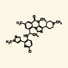 Cc1cc(C(C)Nc2ccc(Cl)nc2-c2cnn(C)c2)c2c(c1)c(=O)n(C)c1c(C3CCN(C)CC3)ncn21